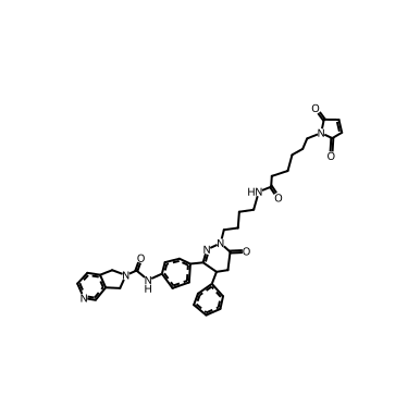 O=C(CCCCCN1C(=O)C=CC1=O)NCCCCN1N=C(c2ccc(NC(=O)N3Cc4ccncc4C3)cc2)C(c2ccccc2)CC1=O